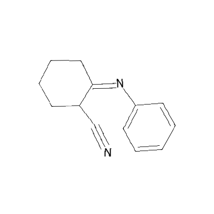 N#CC1CCCC/C1=N/c1ccccc1